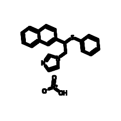 O=[N+]([O-])O.c1ccc(SC(Cn2ccnc2)c2ccc3ccccc3c2)cc1